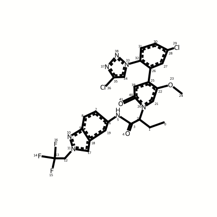 CCC(C(=O)Nc1ccc2nn(CC(F)(F)F)cc2c1)n1cc(OC)c(-c2cc(Cl)ccc2-n2cc(Cl)nn2)cc1=O